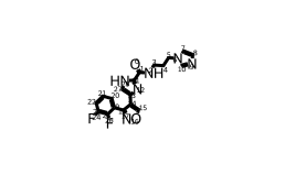 O=C(NCCCn1ccnc1)c1nc(-c2conc2-c2cccc(F)c2F)c[nH]1